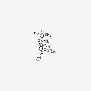 C=CC(=O)N1CCCC[C@@H](n2c(N(N)C(=O)C3=CC(C)NC(C)=C3)nc3ccc(OCCN4CCCC4)c(Cl)c32)C1